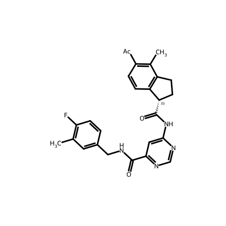 CC(=O)c1ccc2c(c1C)CC[C@@H]2C(=O)Nc1cc(C(=O)NCc2ccc(F)c(C)c2)ncn1